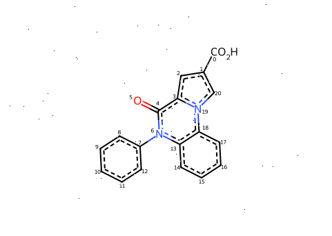 O=C(O)c1cc2c(=O)n(-c3ccccc3)c3ccccc3n2c1